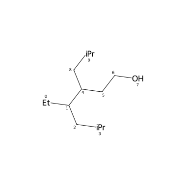 CCC(CC(C)C)C(CCO)CC(C)C